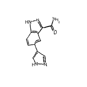 NC(=O)c1n[nH]c2ccc(-c3cn[nH]c3)cc12